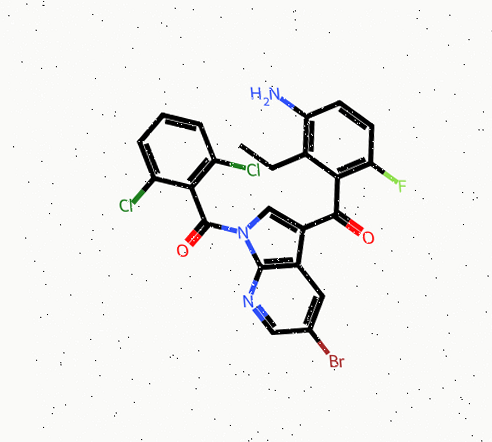 CCc1c(N)ccc(F)c1C(=O)c1cn(C(=O)c2c(Cl)cccc2Cl)c2ncc(Br)cc12